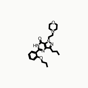 CCCOc1ccccc1-c1nc2c(CCC)nn(CCN3CCOCC3)c2c(=O)[nH]1